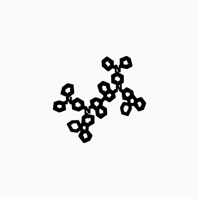 c1ccc(N(c2ccccc2)c2ccc(N(c3ccc4c(c3)C3(CCCCC3)c3ccccc3-4)c3ccc(-c4ccc(N(c5ccc(N(c6ccccc6)c6ccccc6)cc5)c5ccc6c(c5)C5(CCCCC5)c5ccccc5-6)c5ccccc45)c4ccccc34)cc2)cc1